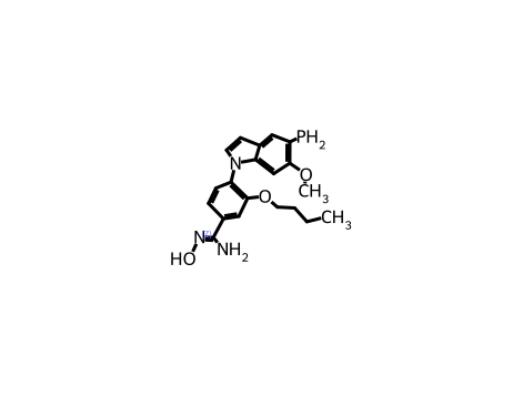 CCCCOc1cc(/C(N)=N/O)ccc1-n1ccc2cc(P)c(OC)cc21